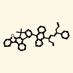 C=CC/C(=C\C=C(/CC=C)c1c2ccccc2c(-c2ccc3c(c2)-c2c(c4oc5ccccc5c4c4ccccc24)C3(C)C)c2ccccc12)c1ccccc1